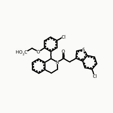 O=C(O)COc1ccc(Cl)cc1C1c2ccccc2CCN1C(=O)Cc1csc2ccc(Cl)cc12